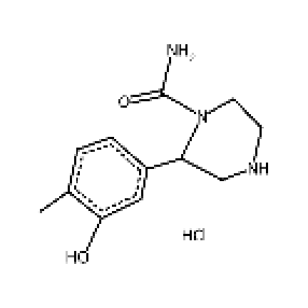 Cc1ccc(C2CNCCN2C(N)=O)cc1O.Cl